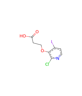 O=C(O)CCOc1c(I)ccnc1Cl